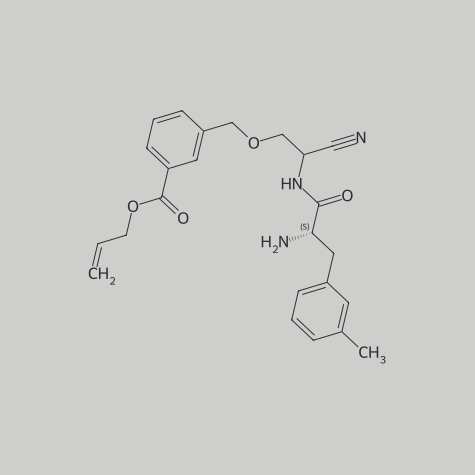 C=CCOC(=O)c1cccc(COCC(C#N)NC(=O)[C@@H](N)Cc2cccc(C)c2)c1